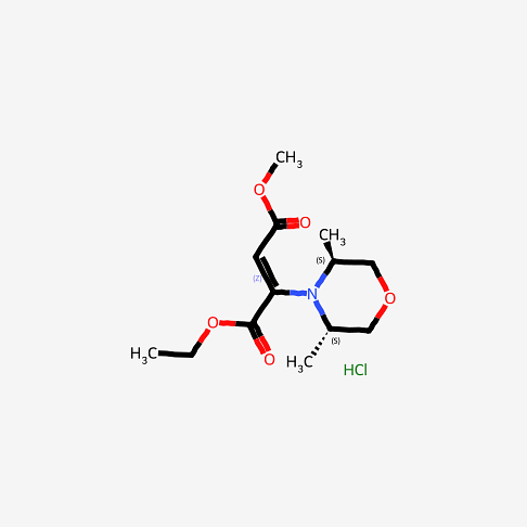 CCOC(=O)/C(=C/C(=O)OC)N1[C@@H](C)COC[C@@H]1C.Cl